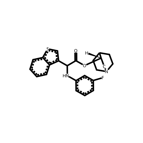 O=C(O[C@H]1CN2CCC1CC2)C(Nc1cccc(F)c1)c1csc2ccccc12